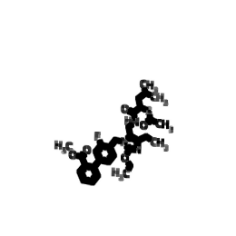 CCOc1nc(CC)c(CNC(=O)C(CC(C)C)SC(C)=O)n1Cc1ccc(-c2ccccc2C(=O)OC)cc1F